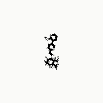 COc1ncccc1-c1ccc(C=C[C@@H]2[C@@H]3[C@@H](C)OC(=O)[C@]3(O)CC(F)(F)[C@H]2C)nc1